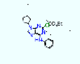 CCOC(C)=O.Clc1nc(Nc2ccccc2)c2ncn(C3CCCC3)c2n1